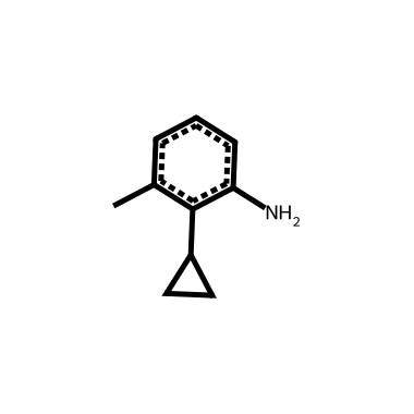 Cc1cccc(N)c1C1CC1